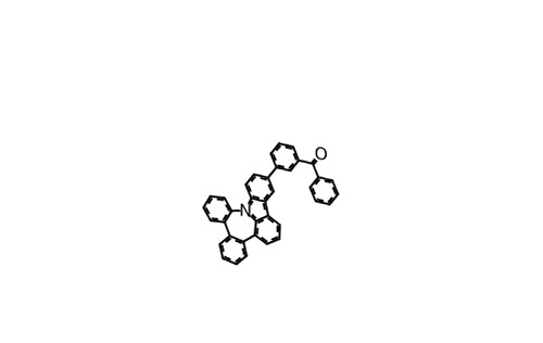 O=C(c1ccccc1)c1cccc(-c2ccc3c(c2)c2cccc4c2n3-c2ccccc2-c2ccccc2-4)c1